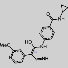 COc1cc(/C(C=N)=C(\O)Nc2ccc(C(=O)NC3CC3)cn2)ccn1